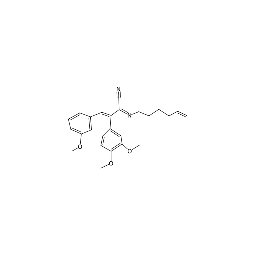 C=CCCCCN=C(C#N)/C(=C/c1cccc(OC)c1)c1ccc(OC)c(OC)c1